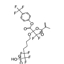 C=C(C)C(=O)OC(OCCCCC(F)(F)C(F)(F)S(=O)(=O)O)(C(=O)Oc1ccc(C(F)(F)F)cc1)C(F)(F)F